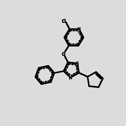 Clc1cc(Oc2sc(C3C=CCC3)nc2-c2ccccc2)ccn1